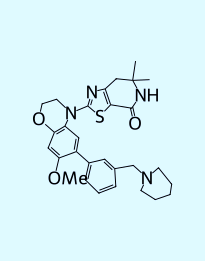 COc1cc2c(cc1-c1cccc(CN3CCCCC3)c1)N(c1nc3c(s1)C(=O)NC(C)(C)C3)CCO2